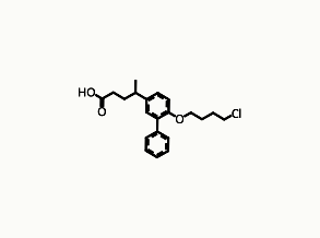 CC(CCC(=O)O)c1ccc(OCCCCCl)c(-c2ccccc2)c1